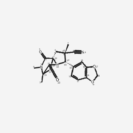 CN1C(=O)[C@@]23C[C@](C)(C#N)[C@H](c4ccc5c(c4)OCO5)N2C(=O)C1(C)SS3